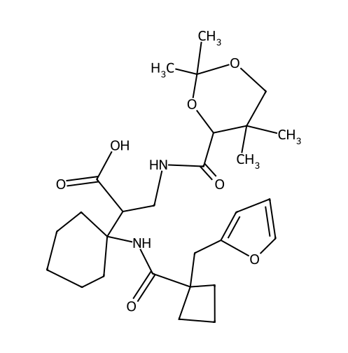 CC1(C)OCC(C)(C)C(C(=O)NCC(C(=O)O)C2(NC(=O)C3(Cc4ccco4)CCC3)CCCCC2)O1